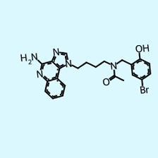 CC(=O)N(CCCCn1cnc2c(N)nc3ccccc3c21)Cc1cc(Br)ccc1O